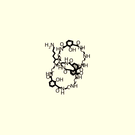 NCCCCC(CN1CCNC(=O)c2cccc(c2O)C(=O)NCCNCCNC(=O)c2cccc(c2O)C(=O)NCC1)N1CCNC(=O)c2cccc(c2O)C(=O)NCCNCCNC(=O)c2cccc(c2O)C(=O)NCC1